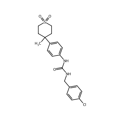 CC1(c2ccc(NC(=O)NCc3ccc(Cl)cc3)cc2)CCS(=O)(=O)CC1